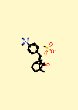 CC12CCC(C(=Cc3ccc([N+](C)(C)C)cc3)C1=O)C2(C)C.CS(=O)(=O)[O-]